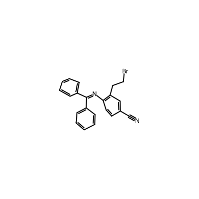 N#Cc1ccc(N=C(c2ccccc2)c2ccccc2)c(CCBr)c1